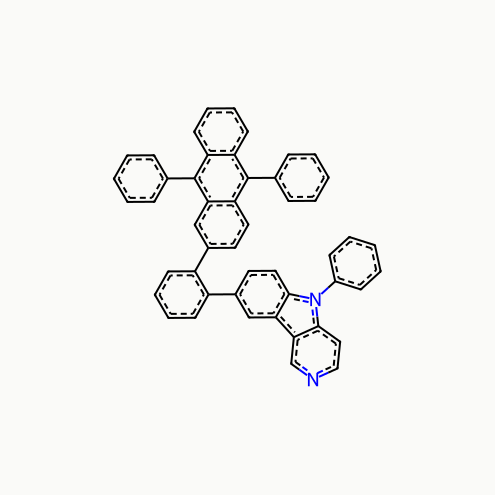 c1ccc(-c2c3ccccc3c(-c3ccccc3)c3cc(-c4ccccc4-c4ccc5c(c4)c4cnccc4n5-c4ccccc4)ccc23)cc1